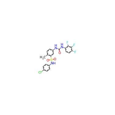 Cc1ccc(NC(=O)Nc2ccc(F)c(F)c2F)cc1S(=O)(=O)Nc1ccc(Cl)cc1